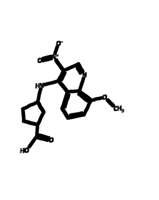 COc1cccc2c(NC3CCC(C(=O)O)C3)c([N+](=O)[O-])cnc12